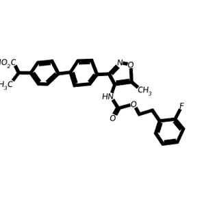 Cc1onc(-c2ccc(-c3ccc(C(C)C(=O)O)cc3)cc2)c1NC(=O)OCCc1ccccc1F